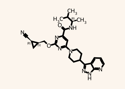 CC(C)[C@@H](C)NC(=O)c1cc(N2CCC(c3n[nH]c4ncccc34)CC2)nc(OC[C@H]2C[C@H]2C#N)n1